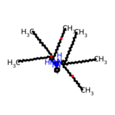 CCCCCCCCCCCCCCCCCCc1cc(Nc2nc(Nc3cc(CCCCCCCCCCCCCCCCCC)c(CCCCCCCCCCCCCCCCCC)c(CCCCCCCCCCCCCCCCCC)c3)nc(-c3cc[c]cc3)n2)cc(CCCCCCCCCCCCCCCCCC)c1CCCCCCCCCCCCCCCCCC